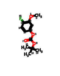 COc1cc(OC(=O)OC(C)(C)C)ccc1F